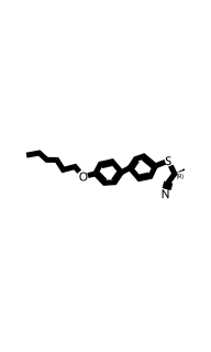 CCCCCCOc1ccc(-c2ccc(S[C@H](C)C#N)cc2)cc1